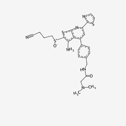 CN(C)CC(=O)NCc1ccc(-c2cc(-c3nccs3)nc3sc([S+]([O-])CCCC#N)c(N)c23)cc1